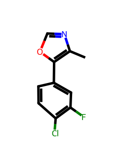 Cc1ncoc1-c1ccc(Cl)c(F)c1